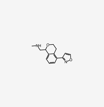 CNCC1OCCc2c(-c3ccon3)cccc21